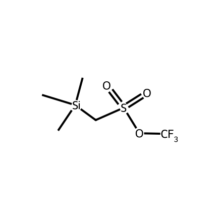 C[Si](C)(C)CS(=O)(=O)OC(F)(F)F